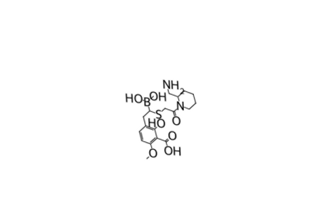 COc1ccc(CC(SCC(=O)N2CCCCC2CN)B(O)O)c(O)c1C(=O)O